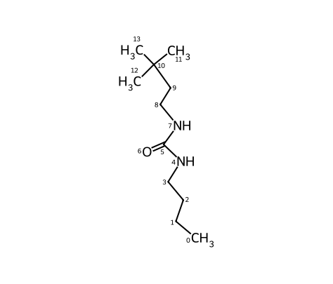 CCCCNC(=O)NCCC(C)(C)C